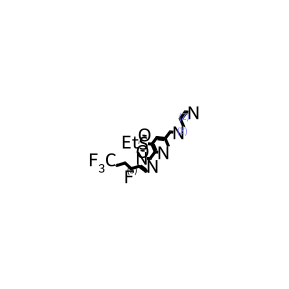 C=N/C=C\C=N/Cc1cnc(-c2ncc([C@@H](F)CCC(F)(F)F)n2C)c(S(=O)(=O)CC)c1